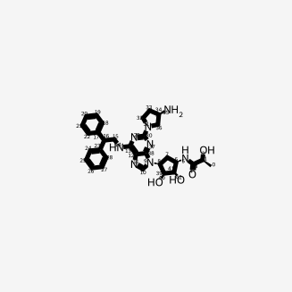 C[C@H](O)C(=O)N[C@H]1C[C@@H](n2cnc3c(NCC(c4ccccc4)c4ccccc4)nc(N4CC[C@@H](N)C4)nc32)[C@H](O)[C@@H]1O